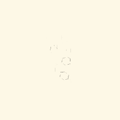 C[C@@H]1[C@H](Cc2cccc(-c3cc(F)ccc3F)c2F)N(C(=O)[C@H]2CCO2)CC1(F)F